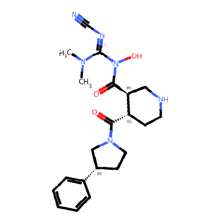 CN(C)/C(=N\C#N)N(O)C(=O)[C@H]1CNCC[C@@H]1C(=O)N1CC[C@H](c2ccccc2)C1